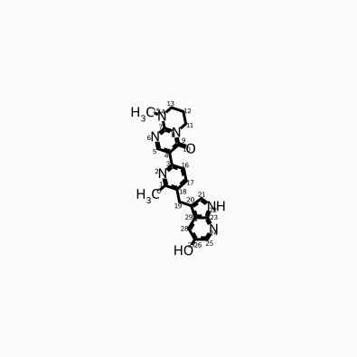 Cc1nc(-c2cnc3n(c2=O)CCCN3C)ccc1Cc1c[nH]c2ncc(O)cc12